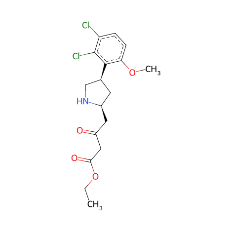 CCOC(=O)CC(=O)C[C@@H]1C[C@H](c2c(OC)ccc(Cl)c2Cl)CN1